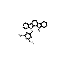 CCn1c2ccccc2c2ccc3c4ccccc4n(Cc4nc(C)nc(C)n4)c3c21